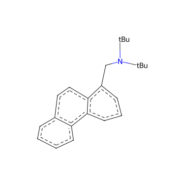 CC(C)(C)N(Cc1cccc2c1ccc1ccccc12)C(C)(C)C